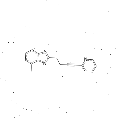 Cc1cccc2sc(CCC#Cc3ccccn3)nc12